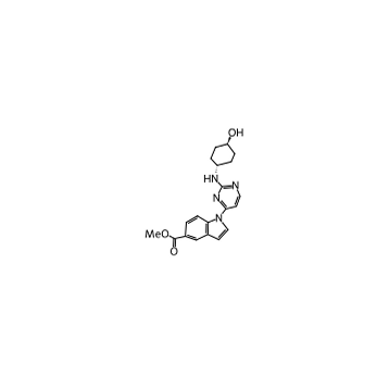 COC(=O)c1ccc2c(ccn2-c2ccnc(N[C@H]3CC[C@H](O)CC3)n2)c1